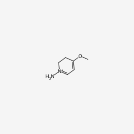 COC1=CC=[N+](N)CC1